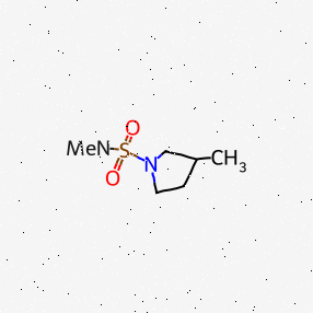 CNS(=O)(=O)N1CCC(C)C1